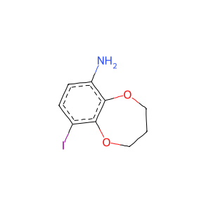 Nc1ccc(I)c2c1OCCCO2